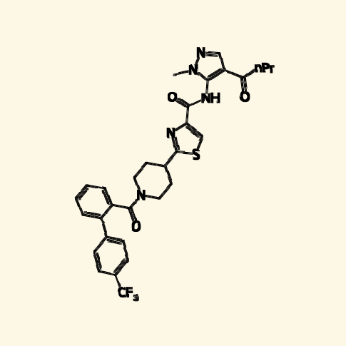 CCCC(=O)c1cnn(C)c1NC(=O)c1csc(C2CCN(C(=O)c3ccccc3-c3ccc(C(F)(F)F)cc3)CC2)n1